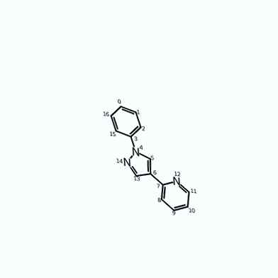 c1ccc(-n2cc(-c3ccccn3)cn2)cc1